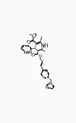 COC(=O)C1=C(C)NC(C)=C(C(=O)OC/C=C/c2ccc(Cn3ccnc3)cc2)C1c1cccnn1